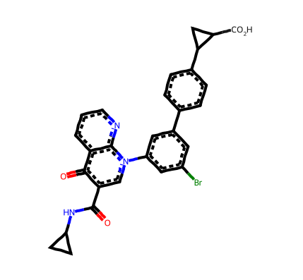 O=C(NC1CC1)c1cn(-c2cc(Br)cc(-c3ccc(C4CC4C(=O)O)cc3)c2)c2ncccc2c1=O